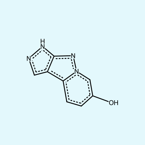 Oc1ccc2c3cn[nH]c3nn2c1